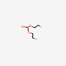 OB(OCCF)OCCF